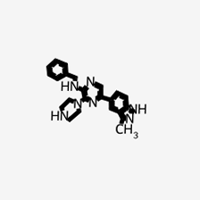 Cc1n[nH]c2ccc(-c3cnc(NCc4ccccc4)c(N4CCNCC4)n3)cc12